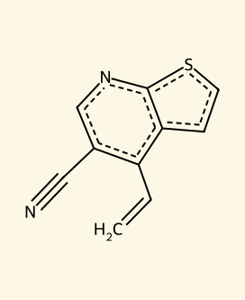 C=Cc1c(C#N)cnc2sccc12